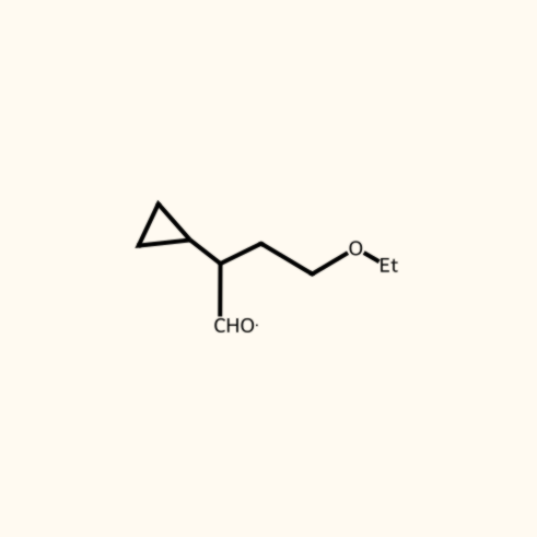 CCOCCC([C]=O)C1CC1